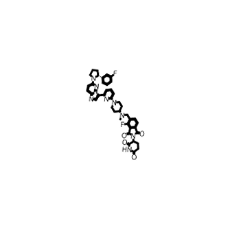 CN(Cc1ccc2c(c1F)C(=O)N(C1CCC(=O)NC1=O)C2=O)C1CCN(c2cccc(-c3cnc4ccc(N5CCC[C@@H]5c5cccc(F)c5)nn34)n2)CC1